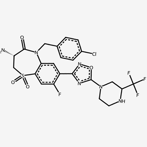 N[C@H]1CS(=O)(=O)c2cc(F)c(-c3noc(N4CCNC(C(F)(F)F)C4)n3)cc2N(Cc2ccc(Cl)cc2)C1=O